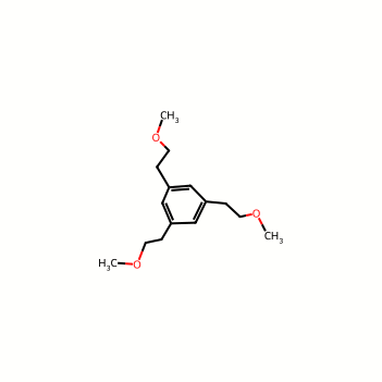 COCCc1cc(CCOC)cc(CCOC)c1